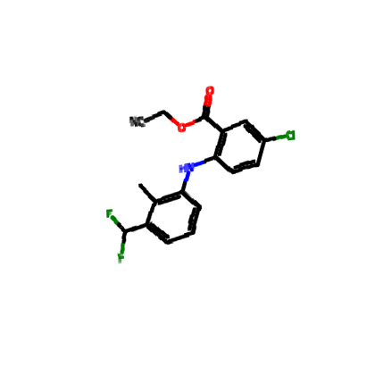 Cc1c(Nc2ccc(Cl)cc2C(=O)OCC#N)cccc1C(F)F